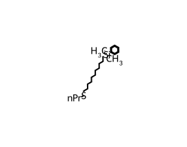 CCCSCCCCCCCCCCC[Si](C)(C)c1ccccc1